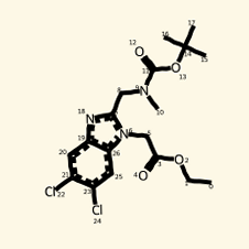 CCOC(=O)Cn1c(CN(C)C(=O)OC(C)(C)C)nc2cc(Cl)c(Cl)cc21